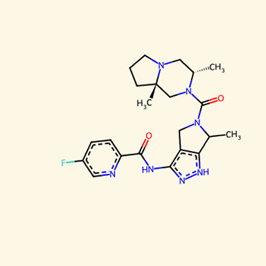 CC1c2[nH]nc(NC(=O)c3ccc(F)cn3)c2CN1C(=O)N1C[C@]2(C)CCCN2C[C@@H]1C